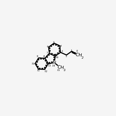 C=CCc1cccc2c3ccccc3n(C)c12